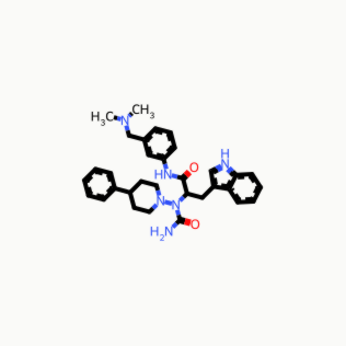 CN(C)Cc1cccc(NC(=O)C(Cc2c[nH]c3ccccc23)N(C(N)=O)N2CCC(c3ccccc3)CC2)c1